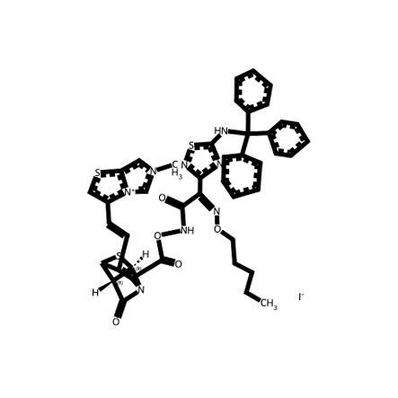 CCCCCON=C(C(=O)NOC(=O)C1=C(C=Cc2csc3cn(C)c[n+]23)C2S[C@@H]3[C@@H]2C(=O)N13)c1nsc(NC(c2ccccc2)(c2ccccc2)c2ccccc2)n1.[I-]